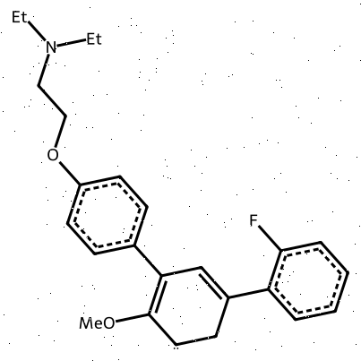 CCN(CC)CCOc1ccc(C2=C(OC)[C]CC(c3ccccc3F)=C2)cc1